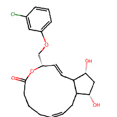 O=C1CCC/C=C\CC2C(/C=C/[C@@H](COc3cccc(Cl)c3)O1)[C@H](O)C[C@@H]2O